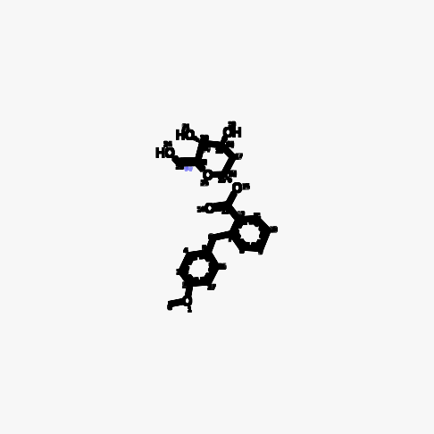 COc1ccc(Cc2ccccc2C(=O)O[C@H]2C[C@H](O)[C@@H](O)/C(=C\O)O2)cc1